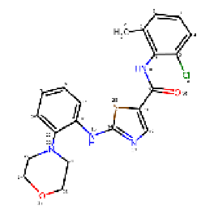 Cc1cccc(Cl)c1NC(=O)c1cnc(Nc2ccccc2N2CCOCC2)s1